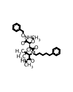 CNC(=O)C(N(CCCCCc1ccccc1)C(=O)C[C@H](OC)C(=O)NOCc1ccccc1)C(C)(C)C